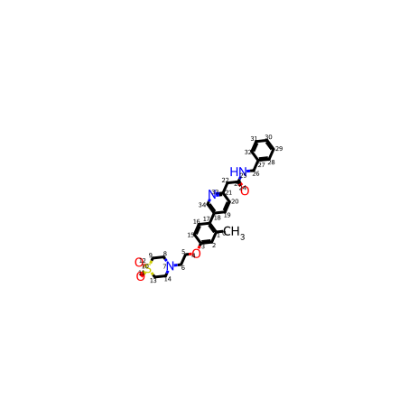 Cc1cc(OCCN2CCS(=O)(=O)CC2)ccc1-c1ccc(CC(=O)NCc2ccccc2)nc1